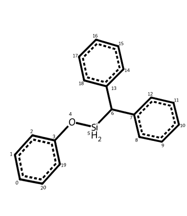 c1ccc(O[SiH2]C(c2ccccc2)c2ccccc2)cc1